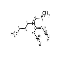 C=CCN(CCCC)C(CC#N)=NC#N